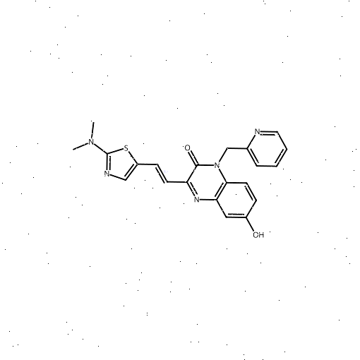 CN(C)c1ncc(/C=C/c2nc3cc(O)ccc3n(Cc3ccccn3)c2=O)s1